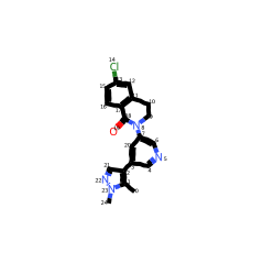 Cc1c(-c2cncc(N3CCc4cc(Cl)ccc4C3=O)c2)cnn1C